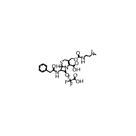 CN(C)CCNC(=O)OCC1=C(C(=O)O)N2C(=O)C(NC(=O)Cc3ccccc3)[C@@H]2SC1.O=C(O)C(F)(F)F